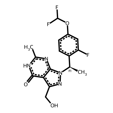 Cc1nc2c(c(CO)nn2[C@H](C)c2ccc(OC(F)F)cc2F)c(=O)[nH]1